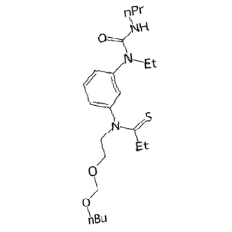 CCCCOCOCCN(C(=S)CC)c1cccc(N(CC)C(=O)NCCC)c1